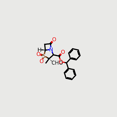 C[C@]1(C=O)C(C(=O)OC(c2ccccc2)c2ccccc2)N2C(=O)C[C@H]2S1(=O)=O